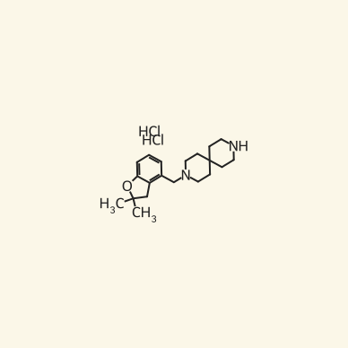 CC1(C)Cc2c(CN3CCC4(CCNCC4)CC3)cccc2O1.Cl.Cl